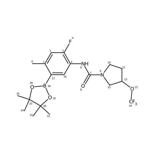 Cc1cc(F)c(NC(=O)N2CCC(OC(F)(F)F)C2)cc1B1OC(C)(C)C(C)(C)O1